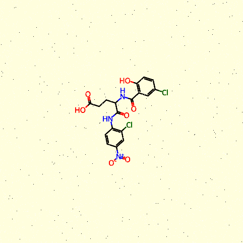 O=C(O)CCC(NC(=O)c1cc(Cl)ccc1O)C(=O)Nc1ccc([N+](=O)[O-])cc1Cl